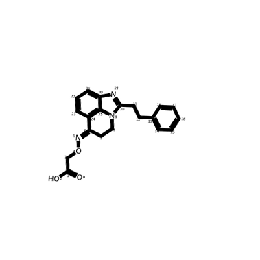 O=C(O)CON=C1CCn2c(CCc3ccccc3)nc3cccc1c32